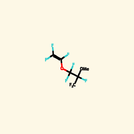 COC(F)(C(F)(F)F)C(F)(F)OC(F)=C(F)F